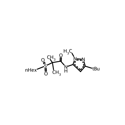 CCCCCCS(=O)(=O)C(C)(C)C(=O)Nc1cc(C(C)(C)C)nn1C